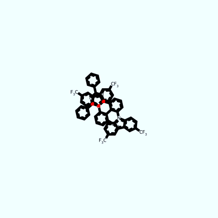 FC(F)(F)c1ccc2c(c1)c1cc(C(F)(F)F)ccc1n2-c1cccc(-c2nc(-c3ccccc3)nc(-c3ccccc3)n2)c1-c1c(-n2c3ccc(C(F)(F)F)cc3c3cc(C(F)(F)F)ccc32)cccc1C(F)(F)F